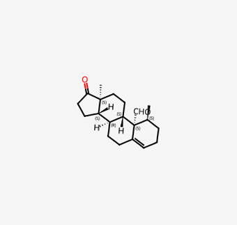 C[C@H]1CCC=C2CC[C@@H]3[C@H](CC[C@]4(C)C(=O)CC[C@@H]34)[C@]21C=O